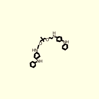 CC(C)(COCCNc1ccc(Nc2ccccc2)cc1)COCCNc1ccc(Nc2ccccc2)cc1